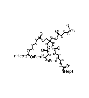 CCCCCCCC(=O)OCCCCC(=O)OCC(COC(=O)CCCCOC(=O)CCCCCCC)(COC(=O)CCCN(C)C)COC(=O)CC(CCCCC)CCCCC